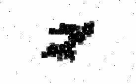 COP(=O)(CC(=O)c1nn(CC(=O)N2C[C@H](F)C[C@H]2C(=O)Nc2cccc(Br)n2)c2ccc(-c3cnc(C)nc3)cc12)OC